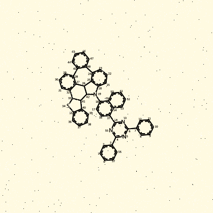 c1ccc(-c2nc(-c3ccccc3)nc(-c3ccc(N4c5cccc6c5C5c7c(cccc7C7Sc8ccccc8C7C54)-c4ccccc4-6)c4ccccc34)n2)cc1